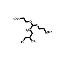 CCCCCCCCCCCCOC(OCCCCCCCCCCCC)[SiH2]CC(C)CS